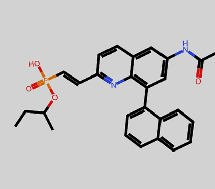 CCC(C)OP(=O)(O)C=Cc1ccc2cc(NC(C)=O)cc(-c3cccc4ccccc34)c2n1